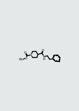 CC(C)(C)OC(=O)N1CCC(C(=O)NCCc2ccccc2)CC1